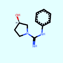 N=C(Nc1ccccc1)N1CC[C@@H](O)C1